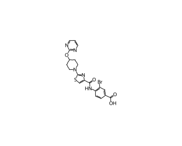 O=C(O)c1ccc(NC(=O)c2csc(N3CCC(Oc4ncccn4)CC3)n2)c(Br)c1